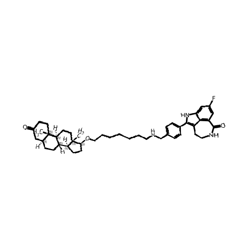 C[C@]12CCC(=O)C[C@@H]1CC[C@@H]1[C@@H]2CC[C@]2(C)[C@@H](OCCCCCCCNCc3ccc(-c4[nH]c5cc(F)cc6c5c4CCNC6=O)cc3)CC[C@@H]12